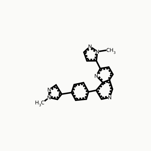 Cn1cc(-c2ccc(-c3cncc4ccc(-c5ccnn5C)nc34)cc2)cn1